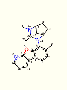 Cc1ccc2c(oc3ncccc32)c1N1C2CCC(C2)N(C)[C@@H]1C